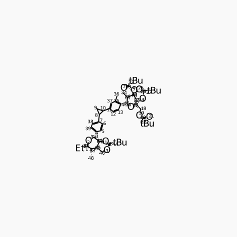 CC[C@H]1O[C@H](c2ccc(C3CC3c3ccc([C@H]4O[C@H](COC(=O)C(C)(C)C)[C@@H](OC(=O)C(C)(C)C)[C@H](OC(=O)C(C)(C)C)[C@@H]4C)c(C)c3)cc2)[C@@H](OC(=O)C(C)(C)C)[C@@H](C)[C@@H]1C